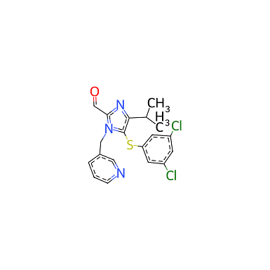 CC(C)c1nc(C=O)n(Cc2cccnc2)c1Sc1cc(Cl)cc(Cl)c1